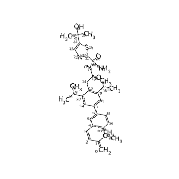 C=C(/C=C\c1cc(-c2cc(C(C)C)c(CC(=O)N=S(N)(=O)c3ncc(C(C)(C)O)s3)c(C(C)C)c2)ccc1C)OC